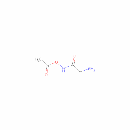 CC(=O)ONC(=O)CN